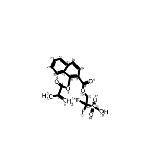 C=C(C)C(=O)Oc1c(C(=O)OCC(F)(F)S(=O)(=O)O)ccc2ccccc12